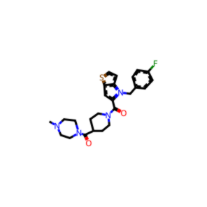 CN1CCN(C(=O)C2CCN(C(=O)c3cc4sccc4n3Cc3ccc(F)cc3)CC2)CC1